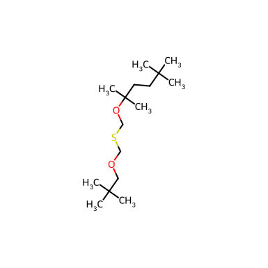 CC(C)(C)CCC(C)(C)OCSCOCC(C)(C)C